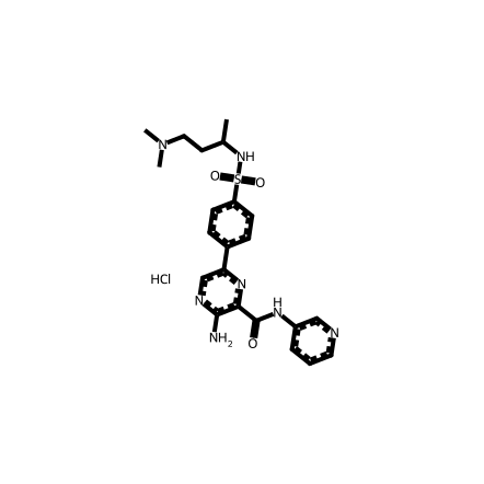 CC(CCN(C)C)NS(=O)(=O)c1ccc(-c2cnc(N)c(C(=O)Nc3cccnc3)n2)cc1.Cl